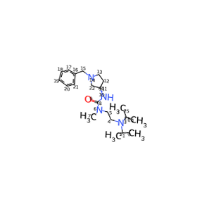 CC(C)N(CCN(C)C(=O)N[C@@H]1CCN(Cc2ccccc2)C1)C(C)C